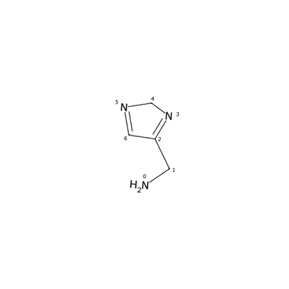 NCC1=NCN=C1